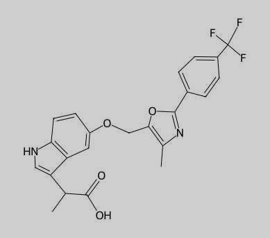 Cc1nc(-c2ccc(C(F)(F)F)cc2)oc1COc1ccc2[nH]cc(C(C)C(=O)O)c2c1